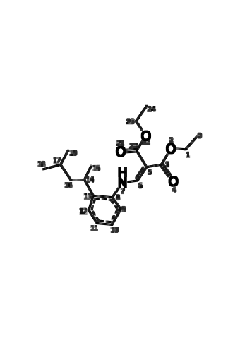 CCOC(=O)C(=CNc1ccccc1C(C)CC(C)C)C(=O)OCC